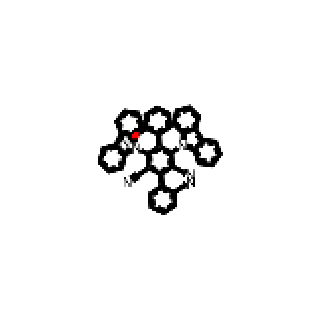 N#Cc1ccccc1-c1c(C#N)c(-n2c3ccccc3c3ccccc32)c(-c2ccccc2C#N)c(-n2c3ccccc3c3ccccc32)c1C#N